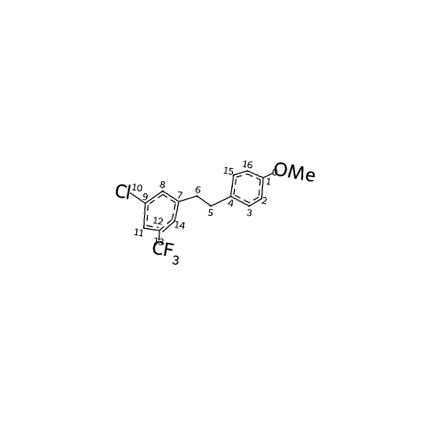 COc1ccc(CCc2cc(Cl)cc(C(F)(F)F)c2)cc1